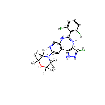 [2H]C1([2H])OC([2H])([2H])C([2H])([2H])N(c2cc3c(cn2)NC(c2c(F)cccc2F)=Nc2c(Cl)n[nH]c2-3)C1([2H])[2H]